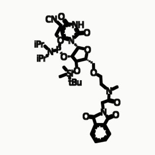 [C-]#[N+]CCOP(O[C@H]1C(O[Si](C)(C)C(C)(C)C)[C@@H](COCCN(C)C(=O)CN2C(=O)c3ccccc3C2=O)O[C@H]1n1ccc(=O)[nH]c1=O)N(C(C)C)C(C)C